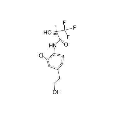 C[C@@](O)(C(=O)Nc1ccc(CCO)cc1Cl)C(F)(F)F